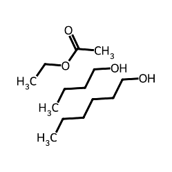 CCCCCCO.CCCCO.CCOC(C)=O